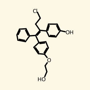 OCCOc1ccc(/C(=C(/CCCl)c2ccc(O)cc2)c2ccccc2)cc1